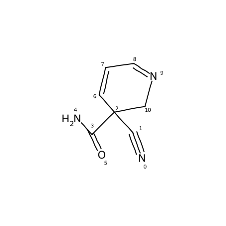 N#CC1(C(N)=O)C=CC=NC1